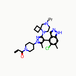 C=CC(=O)N1CCC(n2nc(N3CCN(C(C)C)CC34CCC4)c(-c3c(Cl)c(C)cc4[nH]ncc34)c2C)CC1